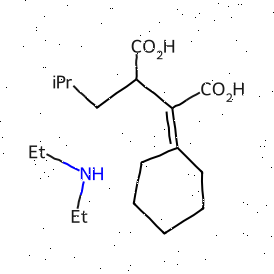 CC(C)CC(C(=O)O)C(C(=O)O)=C1CCCCC1.CCNCC